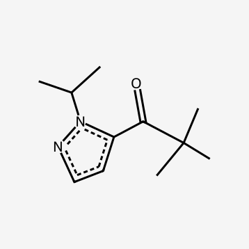 CC(C)n1nccc1C(=O)C(C)(C)C